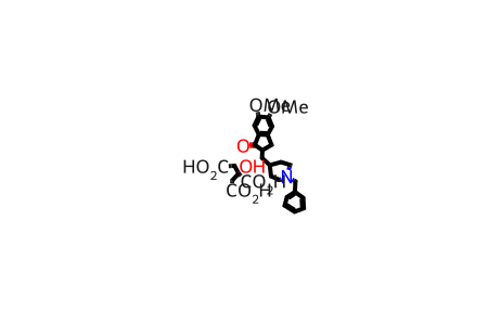 COc1cc2c(cc1OC)C(=O)C(CC1CCN(Cc3ccccc3)CC1)C2.O=C(O)CC(O)(CC(=O)O)C(=O)O